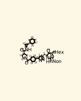 CCCCCCCCCC(=O)N[C@@H](Cn1cc(-c2ccc(C(=O)N3CC[C@H](C(=O)N[C@H]4C[C@@H]4c4ccccc4)C3)cc2)nn1)C(=O)NCCCCCC